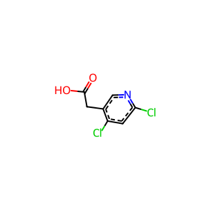 O=C(O)Cc1cnc(Cl)cc1Cl